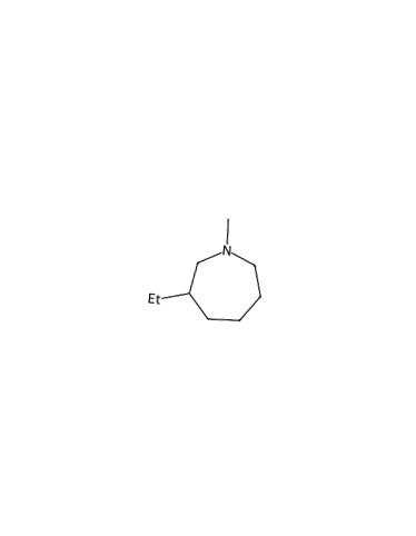 CCC1CCCCN(C)C1